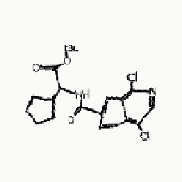 CC(C)(C)OC(=O)C(NC(=O)c1ccc2c(Cl)cnc(Cl)c2c1)C1CCCC1